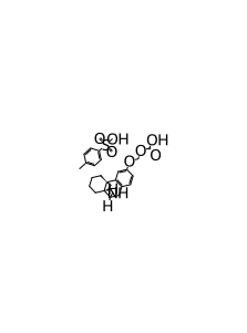 Cc1ccc(S(=O)(=O)O)cc1.O=C(O)OCOc1ccc2c(c1)[C@@]13CCCC[C@H]1[C@@H](C2)NCC3